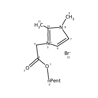 CCCCCOC(=O)C[n+]1ccn(C)c1C.[Br-]